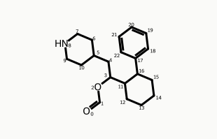 O=COC(CC1CCNCC1)C1CCCCC1c1ccccc1